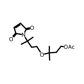 CC(=O)OCCC(C)(C)OCCC(C)(C)N1C(=O)C=CC1=O